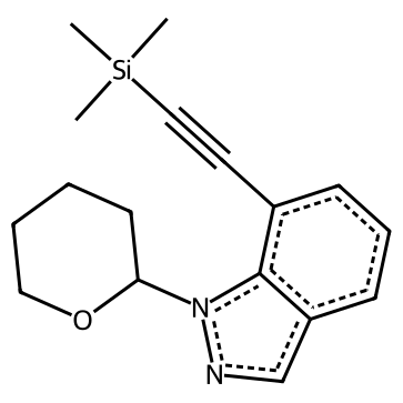 C[Si](C)(C)C#Cc1cccc2cnn(C3CCCCO3)c12